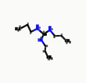 CCC[NH][Nb]([NH]CCC)[NH]CCC